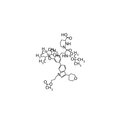 CC(=O)OCCCn1cc(C2CCOCC2)c2ccc(-c3cc(CC(NC(=O)OC(C)(C)C)C(=O)N4CCCC(C(=O)O)N4)cc(O[Si](C(C)C)(C(C)C)C(C)C)c3)cc21